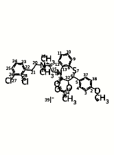 COc1ccc(C2Sc3ccccc3N(CC[N+](C)(C)CCc3cccc(Cl)c3Cl)C(=O)C2OC(C)=O)cc1.[I-]